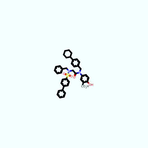 O=C(O)c1cc(N(Cc2ccc(C3CCCCC3)cc2)C(=O)CN(Cc2ccccc2)S(=O)(=O)c2ccc(-c3ccccc3)cc2)ccc1O